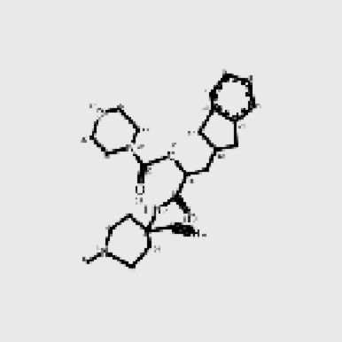 CN1CCC(C#N)(NC(=O)C(CC2Cc3ccccc3C2)OC(=O)N2CCOCC2)CC1